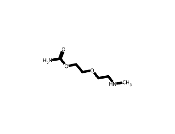 CNCCOCCOC(N)=O